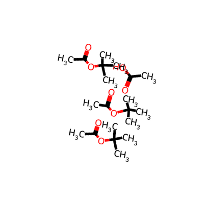 CC(=O)O.CC(=O)OC(C)(C)C.CC(=O)OC(C)(C)C.CC(=O)OC(C)(C)C